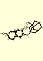 NC12CC3CC(C1)CC(Oc1cc4cc[n+]([O-])cc4cc1Cl)(C3)C2